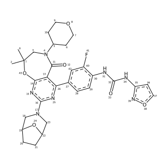 CC1(C)CN(C2CCOCC2)C(=O)c2c(nc(N3CC4CCC(C3)O4)nc2-c2ccc(NC(=O)Nc3ccon3)c(F)c2)O1